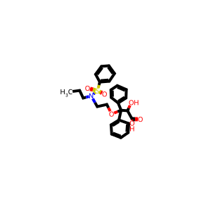 CCCN(CCOC(c1ccccc1)(c1ccccc1)C(O)C(=O)O)S(=O)(=O)c1ccccc1